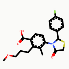 COCCCc1c(C(=O)O)ccc(N2C(=O)CSC2c2ccc(F)cc2)c1C